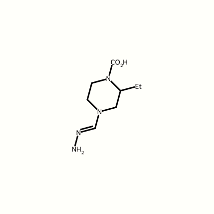 CCC1CN(C=NN)CCN1C(=O)O